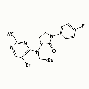 CC(C)(C)CN(c1nc(C#N)ncc1Br)N1CCN(c2ccc(F)cc2)C1=O